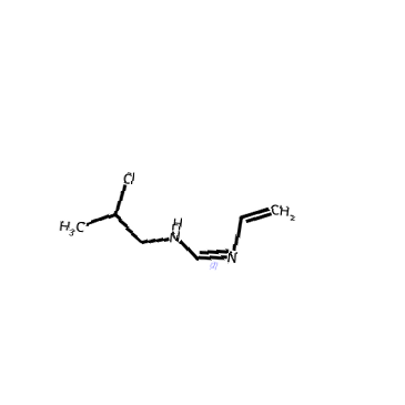 C=C/N=C\NCC(C)Cl